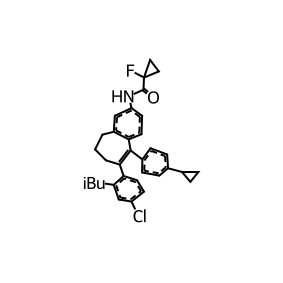 CCC(C)c1cc(Cl)ccc1C1=C(c2ccc(C3CC3)cc2)c2ccc(NC(=O)C3(F)CC3)cc2CCC1